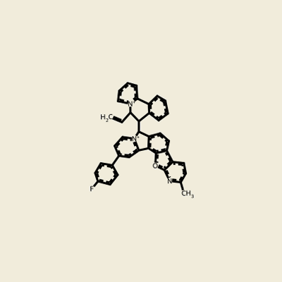 C=CC1C(C2c3ccc4c(oc5nc(C)ccc54)c3-c3cc(-c4ccc(F)cc4)cc[n+]32)c2ccccc2-c2cccc[n+]21